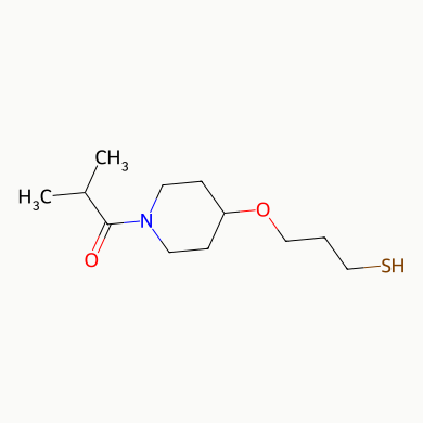 CC(C)C(=O)N1CCC(OCCCS)CC1